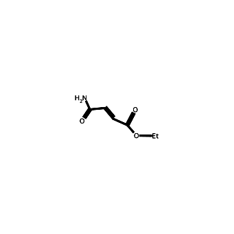 CCOC(=O)C=CC(N)=O